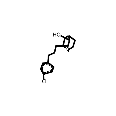 OC1C2CCN(CC2)C1CCCc1ccc(Cl)cc1